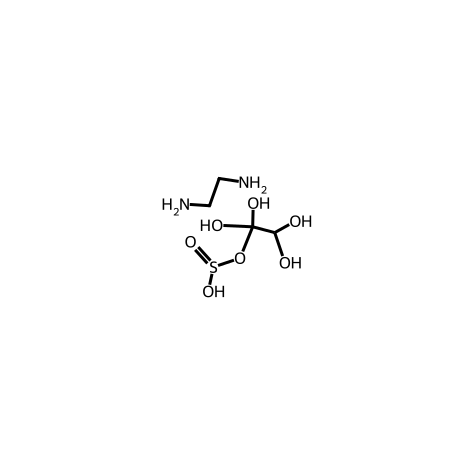 NCCN.O=S(O)OC(O)(O)C(O)O